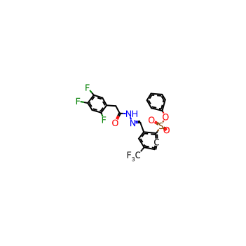 O=C(Cc1cc(F)c(F)cc1F)N/N=C/c1cc(C(F)(F)F)ccc1S(=O)(=O)Oc1ccccc1